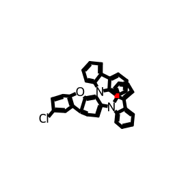 Clc1ccc2oc3c(-n4c5ccccc5c5ccccc54)c(-n4c5ccccc5c5ccccc54)ccc3c2c1